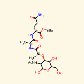 CCCCOC(=O)[C@@H](CCC(N)=O)NC(=O)[C@H](C)NC(=O)[C@@H](C)OC1C(O)C(CO)OC(O)C1NC(C)=O